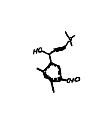 Cc1cc(C)c(C(O)C#C[Si](C)(C)C)cc1C=O